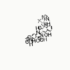 Cn1ccnc1CNC1(CCC(C)(C)C)C(=O)C(C2=NS(O)(O)c3cc(NS(C)(=O)=O)ccc3N2)=C(O)c2ccccc21